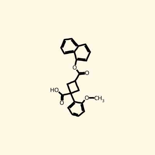 COc1ccccc1C1(C(=O)O)CC(C(=O)Oc2cccc3ccccc23)C1